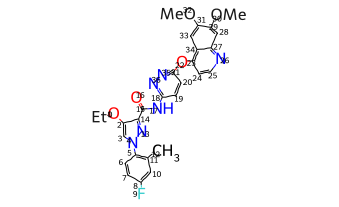 CCOc1cn(-c2ccc(F)cc2C)nc1C(=O)Nc1ccc(Oc2ccnc3cc(OC)c(OC)cc23)nn1